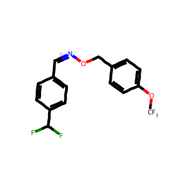 FC(F)c1ccc(/[C]=N\OCc2ccc(OC(F)(F)F)cc2)cc1